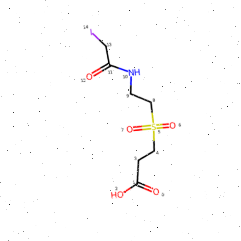 O=C(O)CCS(=O)(=O)CCNC(=O)CI